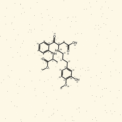 COC(=O)C(C)Nc1ccccc1C(=O)C(CC(=O)O)NCCCc1ccc(OC)c(O)c1